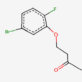 CC(=O)CCOc1cc(Br)ccc1F